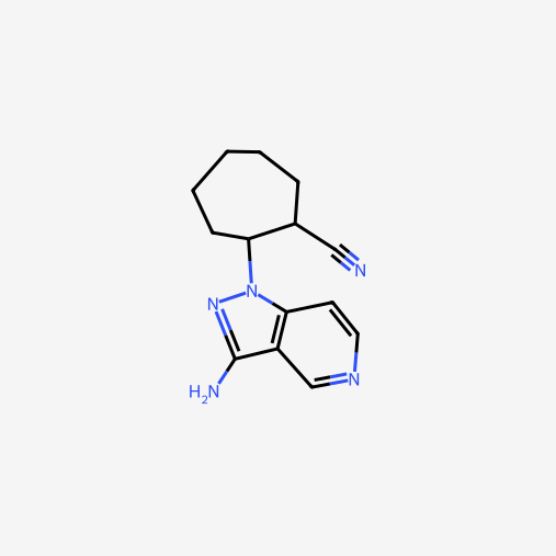 N#CC1CCCCCC1n1nc(N)c2cnccc21